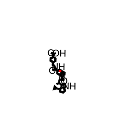 CC(CC(=O)N1C2CC3CC1CC(C(=O)NCc1ccc(C(=O)O)cc1)(C3)C2)c1c[nH]c2cccc(C3CC3)c12